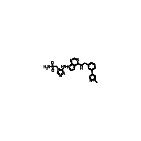 Cn1cc(-c2cccc(CNc3ncnc4c3ccn4Nc3nncn3CS(N)(=O)=O)c2)cn1